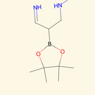 CNCC(C=N)B1OC(C)(C)C(C)(C)O1